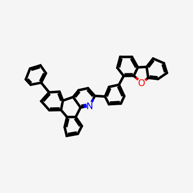 c1ccc(-c2ccc3c4ccccc4c4nc(-c5cccc(-c6cccc7c6oc6ccccc67)c5)ccc4c3c2)cc1